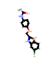 CCCC(=O)Nc1ccc(OCc2nc3cc(F)ccc3s2)cc1